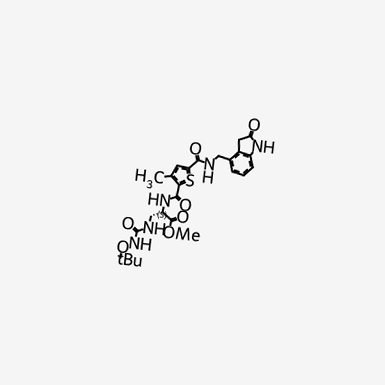 COC(=O)[C@H](CNC(=O)NOC(C)(C)C)NC(=O)c1sc(C(=O)NCc2cccc3c2CC(=O)N3)cc1C